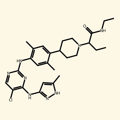 CCNC(=O)C(CC)N1CCC(c2cc(C)c(Nc3ncc(Cl)c(Nc4cc(C)[nH]n4)n3)cc2C)CC1